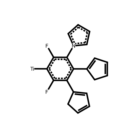 Fc1[c]([Ti])c(F)c(-n2cccc2)c(C2=CC=CC2)c1C1=CC=CC1